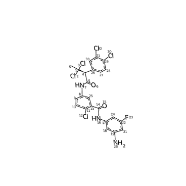 CC(Cl)(Cl)[C@H](C(=O)Nc1ccc(Cl)c(C(=O)Nc2cc(N)cc(F)c2)c1)c1ccc(Cl)c(Cl)c1